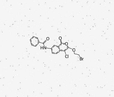 O=C(Nc1ccc2c(Cl)c(OCCBr)oc(=O)c2c1)c1ccccc1